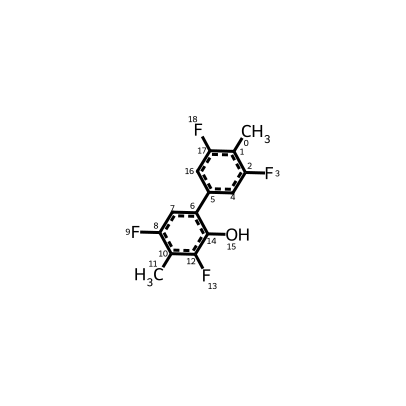 Cc1c(F)cc(-c2cc(F)c(C)c(F)c2O)cc1F